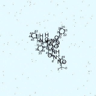 CC(C)c1nc(CN(C)C(=O)N[C@H](C(=O)N(NC(=O)OCc2ccccc2)[C@@H](Cc2ccccc2)[C@@H](O)CNCc2ccccc2)C(C)C)co1